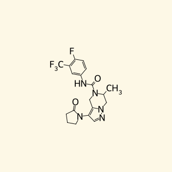 CC1Cn2ncc(N3CCCC3=O)c2CN1C(=O)Nc1ccc(F)c(C(F)(F)F)c1